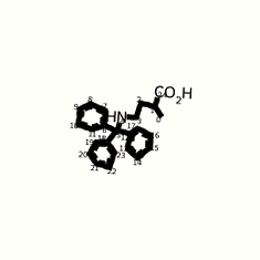 CC(CCNC(c1ccccc1)(c1ccccc1)c1ccccc1)C(=O)O